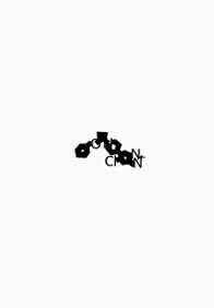 Clc1cc2cn[c]nc2cc1C1CCN(C2CCC2OCc2ccccc2)CC1